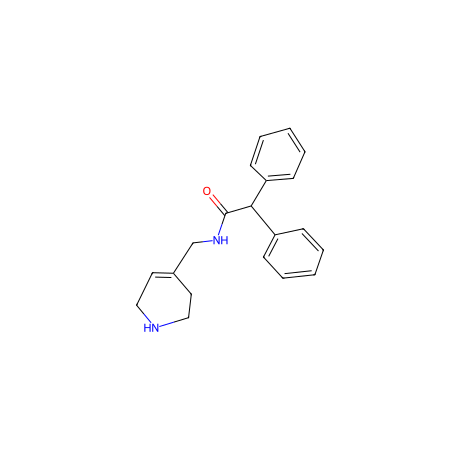 O=C(NCC1=CCNCC1)C(c1ccccc1)c1ccccc1